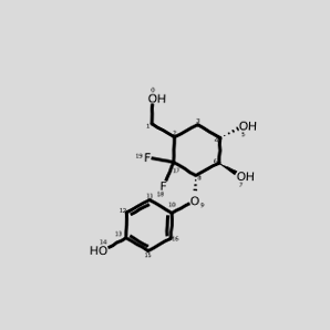 OCC1C[C@H](O)[C@@H](O)[C@H](Oc2ccc(O)cc2)C1(F)F